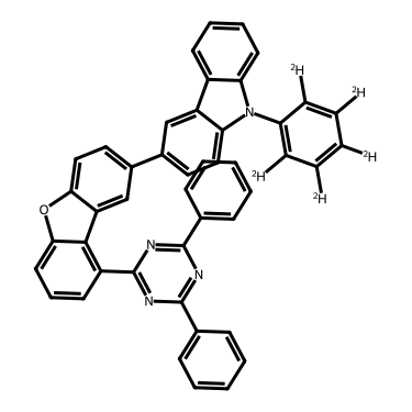 [2H]c1c([2H])c([2H])c(-n2c3ccccc3c3cc(-c4ccc5oc6cccc(-c7nc(-c8ccccc8)nc(-c8ccccc8)n7)c6c5c4)ccc32)c([2H])c1[2H]